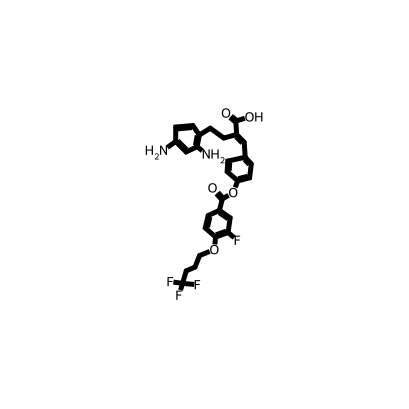 Nc1ccc(CC/C(=C\c2ccc(OC(=O)c3ccc(OCCCC(F)(F)F)c(F)c3)cc2)C(=O)O)c(N)c1